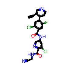 C#Cc1cnccc1-c1cc(Cl)c(C(=O)Nc2cnc(C(=O)NCC#N)c(Cl)c2)cc1F